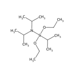 CCO[Si](OCC)(C(C)C)N(C(C)C)C(C)C